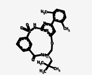 Cc1cccc(C)c1-c1cc2nc(n1)NS(=O)(=O)c1cccc(c1)C(=O)N[C@@H](CC(C)(C)C)CO2